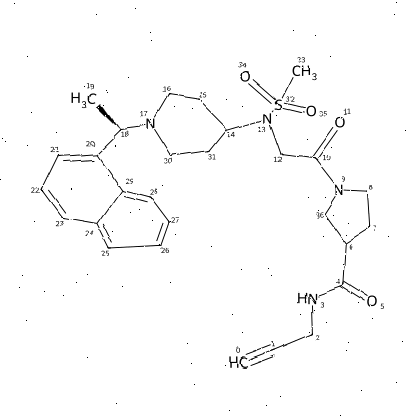 C#CCNC(=O)C1CCN(C(=O)CN(C2CCN([C@H](C)c3cccc4ccccc34)CC2)S(C)(=O)=O)C1